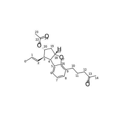 C/C=C/[C@@H]1C2c3cccc(CCCC(C)=O)c3O[C@H]2C[C@H]1OC(C)=O